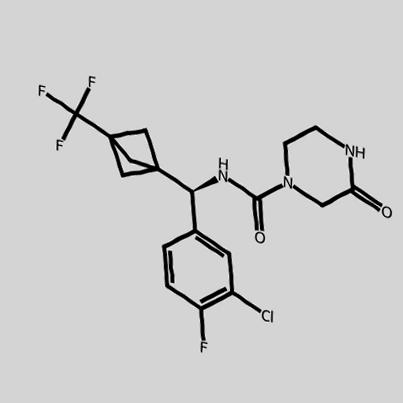 O=C1CN(C(=O)N[C@@H](c2ccc(F)c(Cl)c2)C23CC(C(F)(F)F)(C2)C3)CCN1